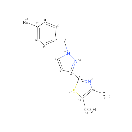 Cc1nc(-c2ccn(Cc3ccc(C(C)(C)C)cc3)n2)sc1C(=O)O